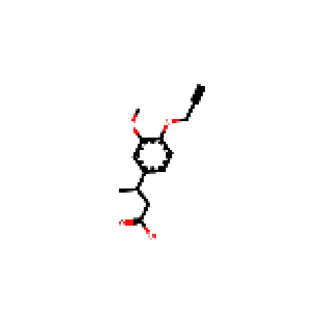 C#CCOc1ccc(C(C)CC(=O)O)cc1OC